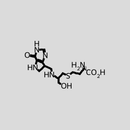 N[C@@H](CCSCC(CO)NCC1CNc2c1nc[nH]c2=O)C(=O)O